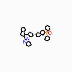 O=P(c1ccccc1)(c1ccccc1)c1ccc2cc(-c3ccc4c5c6ccccc6ccc5c5nc6ccccc6n5c4c3)ccc2c1